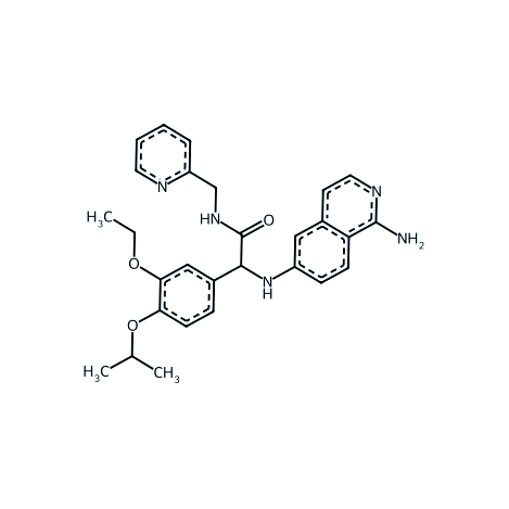 CCOc1cc(C(Nc2ccc3c(N)nccc3c2)C(=O)NCc2ccccn2)ccc1OC(C)C